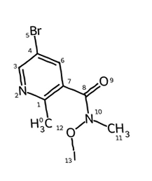 Cc1ncc(Br)cc1C(=O)N(C)OI